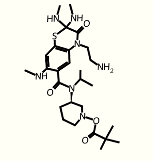 CNc1cc2c(cc1C(=O)N(C(C)C)[C@@H]1CCCN(OC(=O)C(C)(C)C)C1)N(CCN)C(=O)C(NC)(NC)S2